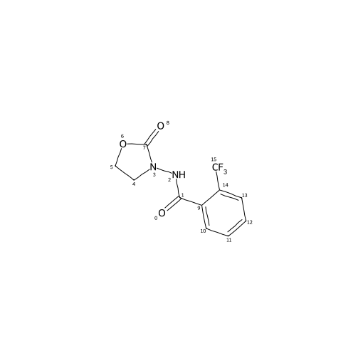 O=C(NN1CCOC1=O)c1ccccc1C(F)(F)F